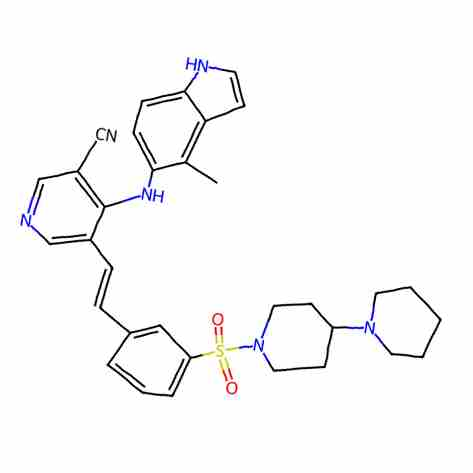 Cc1c(Nc2c(C#N)cncc2/C=C/c2cccc(S(=O)(=O)N3CCC(N4CCCCC4)CC3)c2)ccc2[nH]ccc12